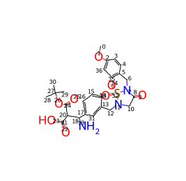 COc1ccc(CN2C(=O)CN(Cc3cccc(C(N)C(C(=O)O)C(=O)OC(C)(C)C)c3)S2(=O)=O)cc1